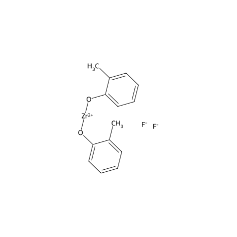 Cc1ccccc1[O][Zr+2][O]c1ccccc1C.[F-].[F-]